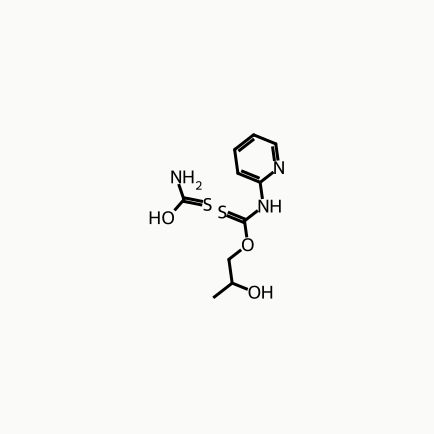 CC(O)COC(=S)Nc1ccccn1.NC(O)=S